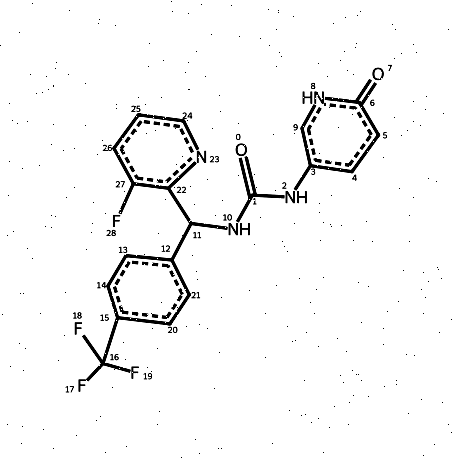 O=C(Nc1ccc(=O)[nH]c1)NC(c1ccc(C(F)(F)F)cc1)c1ncccc1F